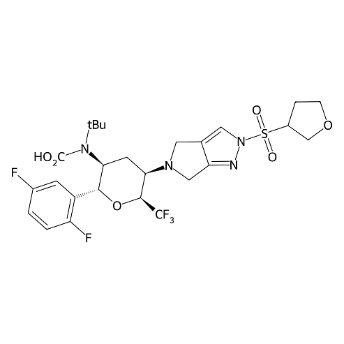 CC(C)(C)N(C(=O)O)[C@H]1C[C@@H](N2Cc3cn(S(=O)(=O)C4CCOC4)nc3C2)[C@@H](C(F)(F)F)O[C@@H]1c1cc(F)ccc1F